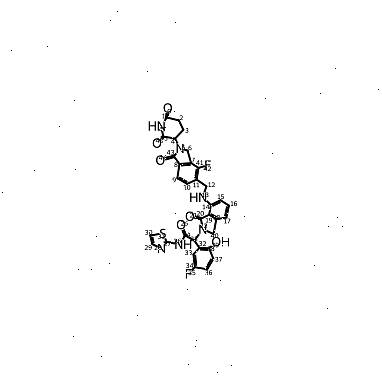 O=C1CCC(N2Cc3c(ccc(CNc4cccc5c4C(=O)N(C(C(=O)Nc4nccs4)c4cc(F)ccc4O)C5)c3F)C2=O)C(=O)N1